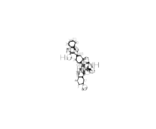 COc1ccc2c(c1)C(=O)N(C[C@@]1(c3ccc(-c4nc5ccccc5nc4O)cc3)NC(=O)NC1=O)C2